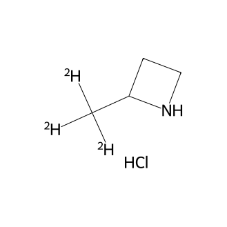 Cl.[2H]C([2H])([2H])C1CCN1